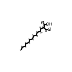 CCCCCCCCCCCCC(CCl)C(=O)O